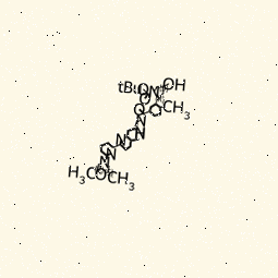 Cc1ccc(C(=O)NCc2cc3nc(-c4cccc(N5C[C@@H](C)O[C@@H](C)C5)n4)ccc3cn2)cc1[C@H]1C[C@H](O)CN1C(=O)OC(C)(C)C